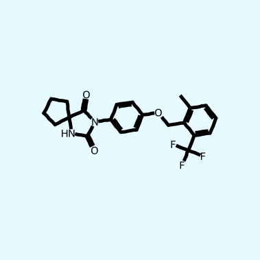 Cc1cccc(C(F)(F)F)c1COc1ccc(N2C(=O)NC3(CCCC3)C2=O)cc1